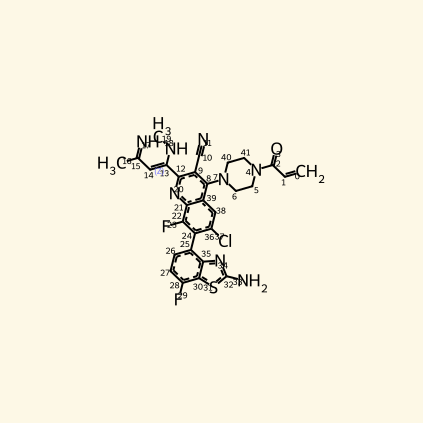 C=CC(=O)N1CCN(c2c(C#N)c(/C(=C/C(C)=N)NC)nc3c(F)c(-c4ccc(F)c5sc(N)nc45)c(Cl)cc23)CC1